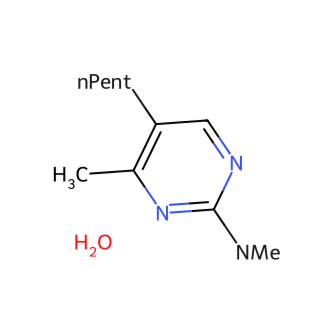 CCCCCc1cnc(NC)nc1C.O